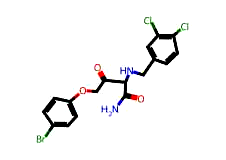 NC(=O)C(NCc1ccc(Cl)c(Cl)c1)C(=O)COc1ccc(Br)cc1